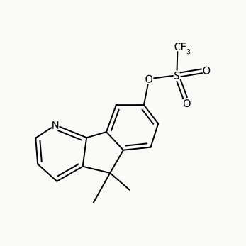 CC1(C)c2ccc(OS(=O)(=O)C(F)(F)F)cc2-c2ncccc21